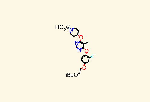 Cc1c(Oc2ccc(OCCOCC(C)C)cc2F)ncnc1OC1CCN(C(=O)O)CC1